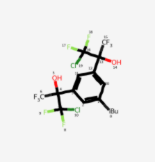 CCC(C)c1cc(C(O)(C(F)(F)F)C(F)(F)Cl)cc(C(O)(C(F)(F)F)C(F)(F)Cl)c1